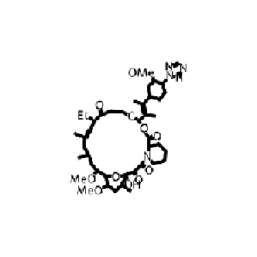 CCC1/C=C(\C)CC(C)CC(OC)C2OC(O)(C(=O)C(=O)N3CCCCC3C(=O)OC(/C(C)=C(\C)C3CCC(n4ncnn4)C(OC)C3)CCCC1=O)C(C)CC2OC